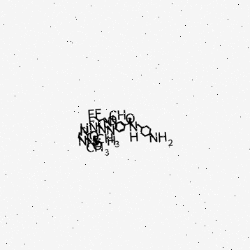 COc1cc(C(=O)NCC2CCC(N)CC2)ccc1Nc1ncc(C(F)(F)F)c(NCc2nccnc2N(C)S(C)(=O)=O)n1